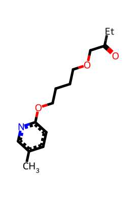 CCC(=O)COCCCCOc1ccc(C)cn1